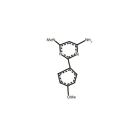 CNc1cc(N)nc(-c2ccc(OC)cc2)n1